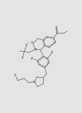 C=C(CC)c1ccc2c(c1)C[C@@H](C)N(CC(C)(F)F)C2c1c(F)cc(CC2CCN(CCCF)C2)cc1F